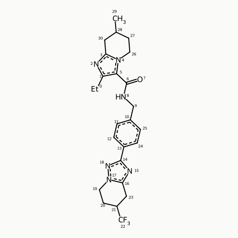 CCc1nc2n(c1C(=O)NCc1ccc(-c3nc4n(n3)CCC(C(F)(F)F)C4)cc1)CCC(C)C2